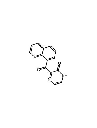 O=C(c1ncc[nH]c1=O)c1cccc2ccccc12